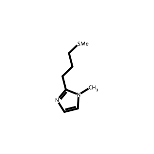 CSCCCc1nccn1C